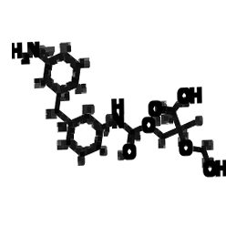 CC(COC(=O)Nc1cccc(Cc2cccc(N)c2)c1)(OCO)C(=O)O